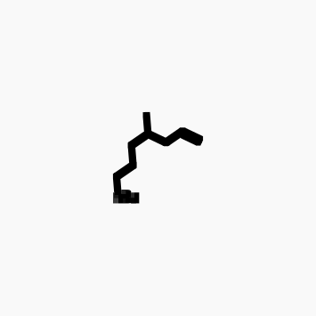 C=CCC(C)CCCCCCC